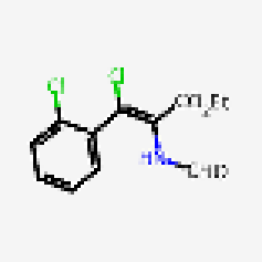 CCOC(=O)C(NC=O)=C(Cl)c1ccccc1Cl